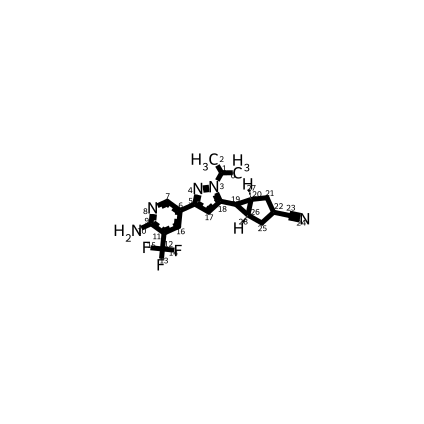 CC(C)n1nc(-c2cnc(N)c(C(F)(F)F)c2)cc1C1[C@H]2CC(C#N)C[C@@H]12